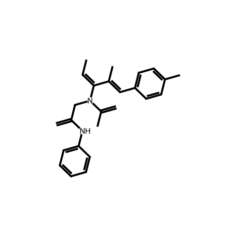 C=C(CN(C(=C)C)C(=C/C)/C(C)=C/c1ccc(C)cc1)Nc1ccccc1